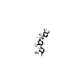 N#Cc1nc(-c2ccc(NS(=O)(=O)c3ccc(F)c(Cl)c3)cc2Cl)ccc1F